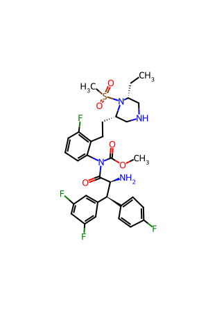 CC[C@@H]1CNC[C@H](CCc2c(F)cccc2N(C(=O)OC)C(=O)[C@@H](N)[C@@H](c2ccc(F)cc2)c2cc(F)cc(F)c2)N1S(C)(=O)=O